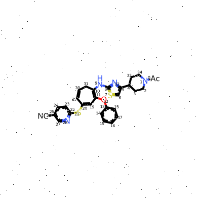 CC(=O)N1CCC(c2csc(NC3=C(Oc4ccccc4)C=C(Sc4ccc(C#N)cn4)C=CC3)n2)CC1